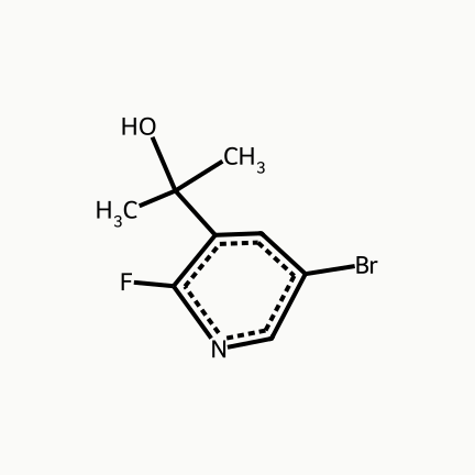 CC(C)(O)c1cc(Br)cnc1F